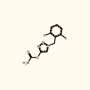 NC(=O)Oc1cn(Cc2c(F)cccc2F)nn1